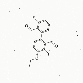 CCOc1ccc(-c2cccc(F)c2C=O)c(C=O)c1F